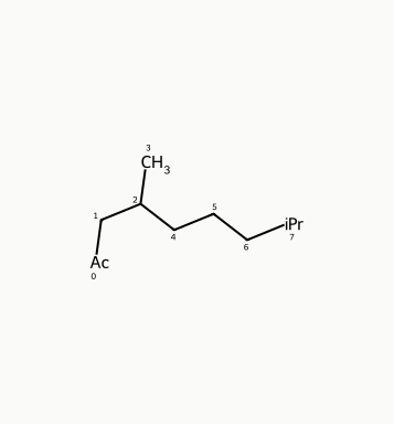 CC(=O)CC(C)CCCC(C)C